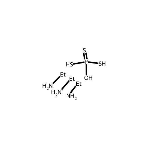 CCN.CCN.CCN.OP(=S)(S)S